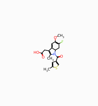 COC1=C(F)CC2C(=C1)C(CC(=O)O)=C(C)N2C(=O)c1csc(C)c1